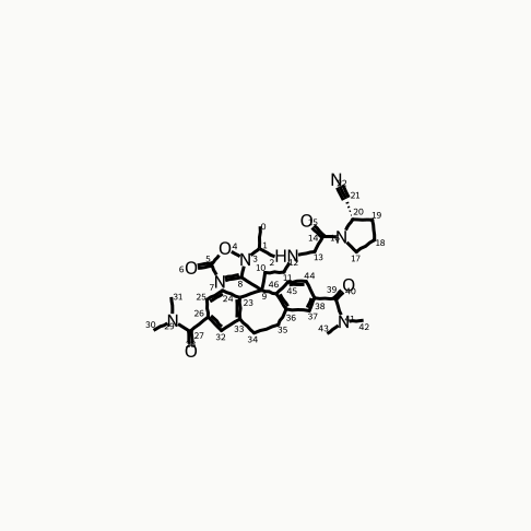 CC(C)n1oc(=O)nc1C1(CCNCC(=O)N2CCC[C@H]2C#N)c2ccc(C(=O)N(C)C)cc2CCc2cc(C(=O)N(C)C)ccc21